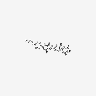 CCCC1CCC(c2cc(F)c(OCc3ccc(-c4cc(F)c(F)c(F)c4)c(F)c3)c(F)c2)CC1